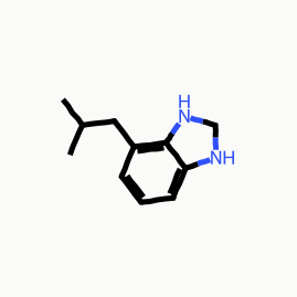 CC(C)Cc1cccc2c1NCN2